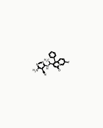 CC(Nc1ncnc(N)c1C#N)c1cc(=O)n2cc(F)ccc2c1-c1ccccc1